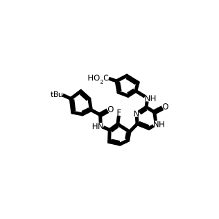 CC(C)(C)c1ccc(C(=O)Nc2cccc(-c3c[nH]c(=O)c(Nc4ccc(C(=O)O)cc4)n3)c2F)cc1